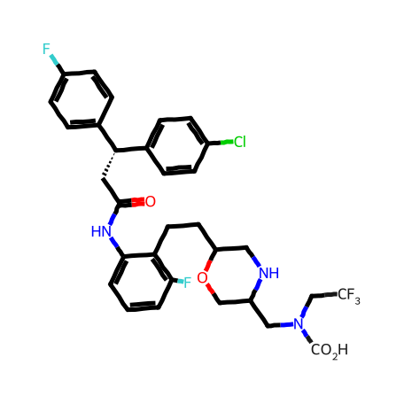 O=C(C[C@H](c1ccc(F)cc1)c1ccc(Cl)cc1)Nc1cccc(F)c1CCC1CNC(CN(CC(F)(F)F)C(=O)O)CO1